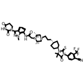 C[C@@H]1CN(CCC[C@H]2CC[C@H](N3C(=S)N(c4ccc(C#N)c(C(F)(F)F)c4)C(=O)C3(C)C)CC2)C[C@H](C)N1CC(=O)Nc1cccc2c(N3CCC(=O)NC3=O)nn(C)c12